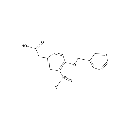 O=C(O)Cc1ccc(OCc2ccccc2)c([N+](=O)[O-])c1